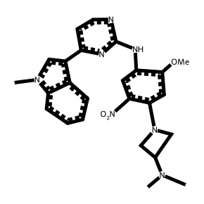 COc1cc(N2CC(N(C)C)C2)c([N+](=O)[O-])cc1Nc1nccc(-c2cn(C)c3ccccc23)n1